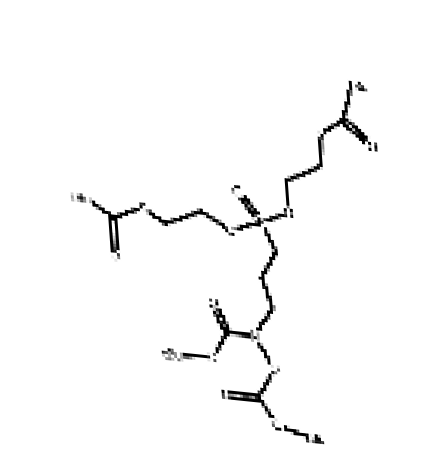 CC(C)(C)OC(=O)ON(CCCP(=O)(OCCSC(=O)C(C)(C)C)OCCSC(=O)C(C)(C)C)C(=O)OC(C)(C)C